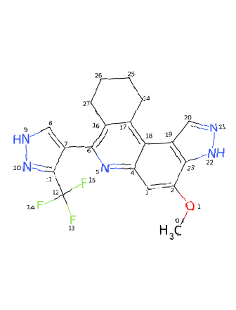 COc1cc2nc(-c3c[nH]nc3C(F)(F)F)c3c(c2c2cn[nH]c12)CCCC3